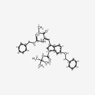 COC(=O)/C(=C/c1cn(C(=O)OC(C)(C)C)c2cc(OCc3ccccc3)ccc12)NC(=O)OCc1ccccc1